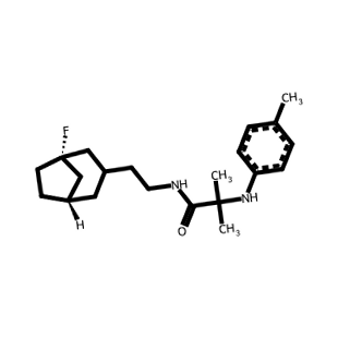 Cc1ccc(NC(C)(C)C(=O)NCCC2C[C@@H]3CC[C@@](F)(C2)C3)cc1